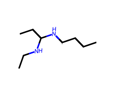 CCC[CH]NC(CC)NCC